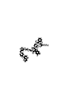 CN[C@@H](C)C(=O)NC(C(=O)N1CCN(C(=O)c2c(C(=O)NCCOCCOc3cc(CN4CCC(Oc5ccnc6ccsc56)CC4)on3)c3cc(F)c(F)cc3n2C)CC1)C1CCCCC1